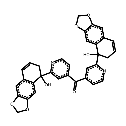 O=C(c1ccnc(C2(O)CC=Cc3cc4c(cc32)OCO4)c1)c1ccnc(C2(O)CC=Cc3cc4c(cc32)OCO4)c1